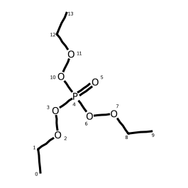 CCOOP(=O)(OOCC)OOCC